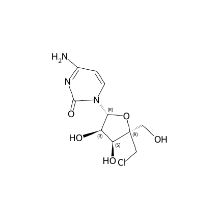 Nc1ccn([C@@H]2O[C@@](CO)(CCl)[C@@H](O)[C@H]2O)c(=O)n1